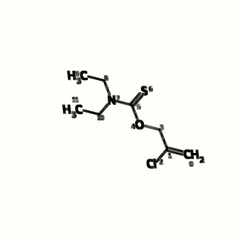 C=C(Cl)COC(=S)N(CC)CC